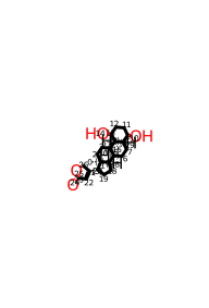 C[C@]12CC[C@H]3[C@@H](CC[C@@H]4C(O)CCC(O)[C@@]43C)[C@@H]1CC[C@@H]2C1=CC(=O)OC1